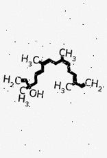 C=CC(C)=CCC=C(C)CC=C(C)C=CCC(C)(O)C=C